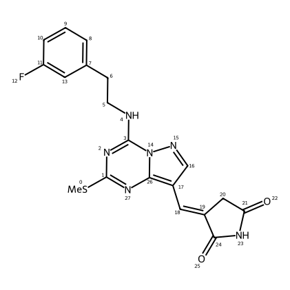 CSc1nc(NCCc2cccc(F)c2)n2ncc(/C=C3\CC(=O)NC3=O)c2n1